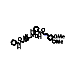 COc1ccc(/C=C/C(=O)Nc2ccccc2C(=O)NCc2cn(CC(=O)Nc3ccccc3)nn2)cc1OC